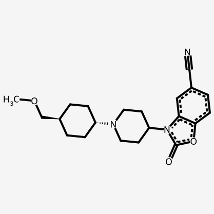 COC[C@H]1CC[C@H](N2CCC(n3c(=O)oc4ccc(C#N)cc43)CC2)CC1